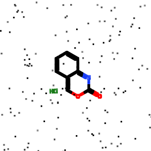 Cl.O=c1nc2ccccc2co1